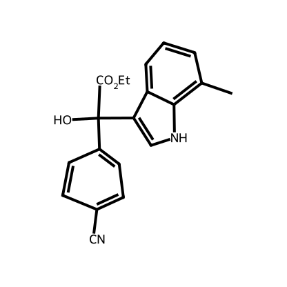 CCOC(=O)C(O)(c1ccc(C#N)cc1)c1c[nH]c2c(C)cccc12